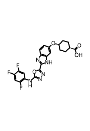 O=C(O)[C@H]1CC[C@@H](Oc2ccc3nc(-c4nnc(Nc5cc(F)c(F)cc5F)o4)[nH]c3c2)CC1